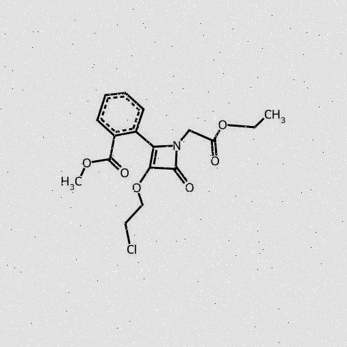 CCOC(=O)CN1C(=O)C(OCCCl)=C1c1ccccc1C(=O)OC